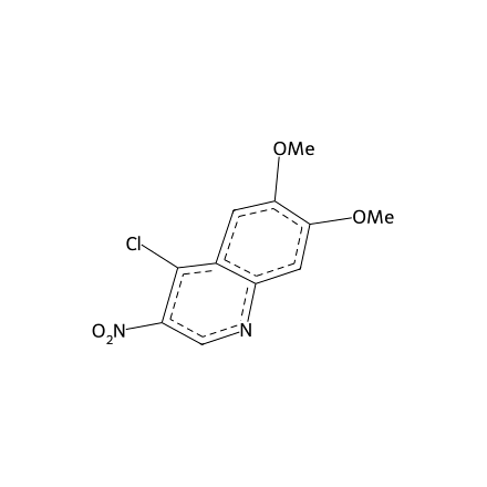 COc1cc2ncc([N+](=O)[O-])c(Cl)c2cc1OC